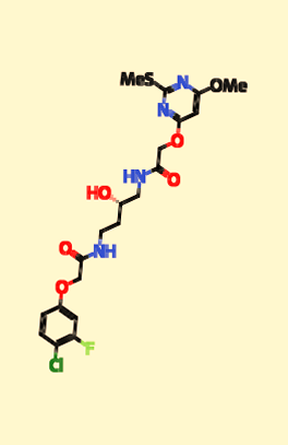 COc1cc(OCC(=O)NC[C@@H](O)CCNC(=O)COc2ccc(Cl)c(F)c2)nc(SC)n1